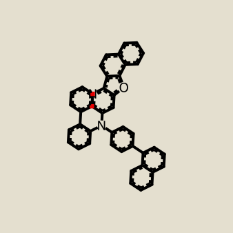 c1ccc(-c2ccccc2N(c2ccc(-c3cccc4ccccc34)cc2)c2cnc3c(c2)oc2c4ccccc4ccc32)cc1